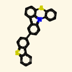 c1ccc2c(c1)Sc1cccc3c4cc(-c5ccc6sc7ccccc7c6c5)ccc4n-2c13